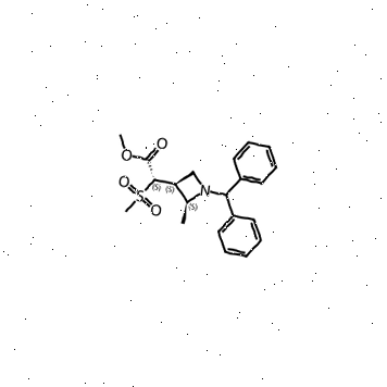 COC(=O)[C@H]([C@H]1CN(C(c2ccccc2)c2ccccc2)[C@H]1C)S(C)(=O)=O